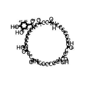 O=C1CCC(=O)NCCCCCCNC(=O)CCC(=O)N(O)CCCCCCNC(=O)CCC(=O)N(O)CCCCCN(C(=O)c2ccc(O)c(O)c2)C1